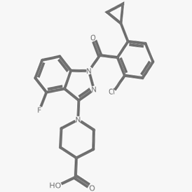 O=C(O)C1CCN(c2nn(C(=O)c3c(Cl)cccc3C3CC3)c3cccc(F)c23)CC1